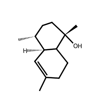 CC1=C[C@@H]2C(CC1)[C@@](C)(O)CC[C@H]2C